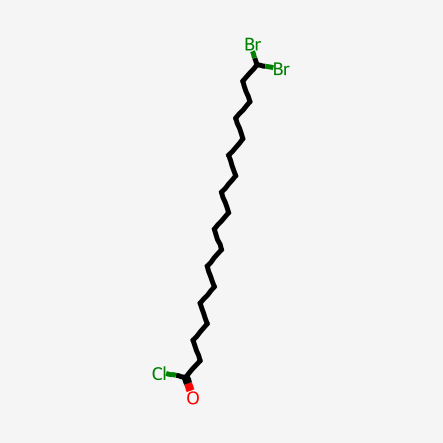 O=C(Cl)CCCCCCCCCCCCCCCCC(Br)Br